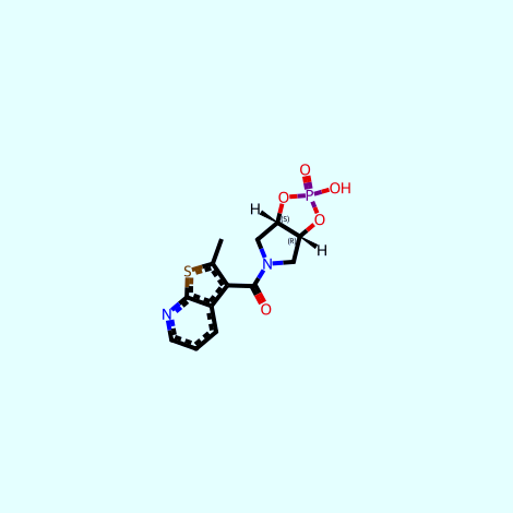 Cc1sc2ncccc2c1C(=O)N1C[C@@H]2OP(=O)(O)O[C@@H]2C1